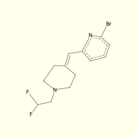 FC(F)CN1CCC(=Cc2cccc(Br)n2)CC1